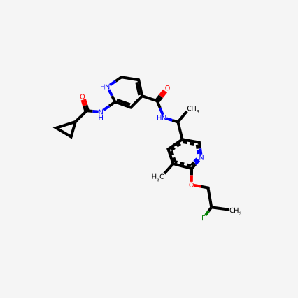 Cc1cc(C(C)NC(=O)C2=CCNC(NC(=O)C3CC3)=C2)cnc1OCC(C)F